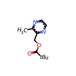 Cc1nccnc1COC(=O)C(C)(C)C